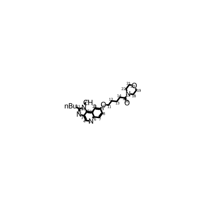 CCCCc1nc2cnc3ccc(OCCCCC(=O)N4CCOCC4)cc3c2n1C